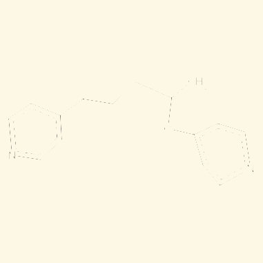 [CH2]C(CCCc1ccncc1)Oc1ccncc1